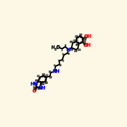 CCCN(CCCCCCNCCc1ccc2[nH]c(=O)[nH]c2c1)C1CCc2c(ccc(O)c2O)C1